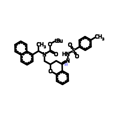 Cc1ccc(S(=O)(=O)N/N=C2\CC(CN(C(=O)OC(C)(C)C)C(C)c3cccc4ccccc34)Oc3ccccc32)cc1